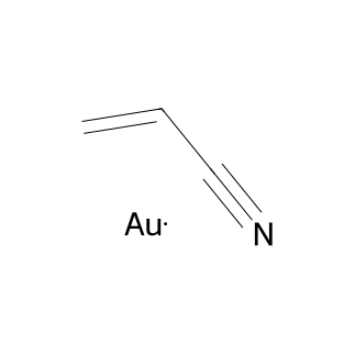 C=CC#N.[Au]